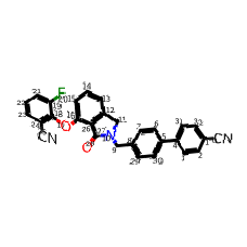 N#Cc1ccc(-c2ccc(CN3Cc4cccc(Oc5c(F)cccc5C#N)c4C3=O)cc2)cc1